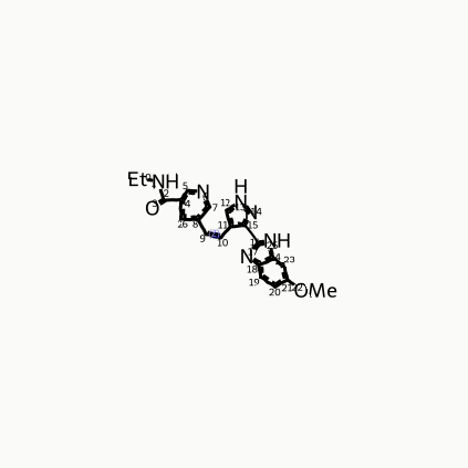 CCNC(=O)c1cncc(/C=C\c2c[nH]nc2-c2nc3ccc(OC)cc3[nH]2)c1